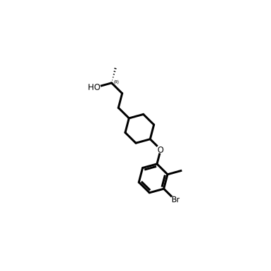 Cc1c(Br)cccc1OC1CCC(CC[C@@H](C)O)CC1